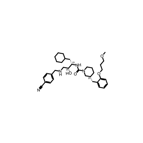 COCCCOc1ccccc1C[C@H]1CCCN(C(=O)N[C@@H](CC2CCCCC2)[C@H](O)CNCc2ccc(C#N)cc2)C1